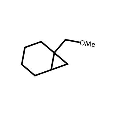 COCC12CCCCC1C2